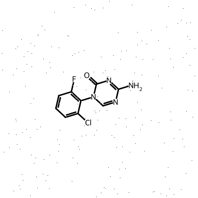 Nc1ncn(-c2c(F)cccc2Cl)c(=O)n1